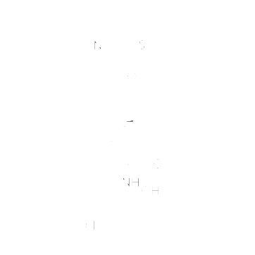 O=C(O)C1(Nc2cccc(Cl)c2)CCC2(CC1)c1ccccc1C[C@H]2C[C@H](COc1ccnc2ccsc12)c1ccccc1